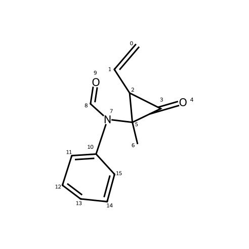 C=CC1C(=O)C1(C)N(C=O)c1ccccc1